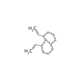 C=Cc1cccc2cccc(C=C)c12